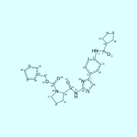 O=C(Nc1ccc(-c2csc(NC(=O)C3CCCN3C(=O)OCc3ccccc3)n2)cc1)C1CCCC1